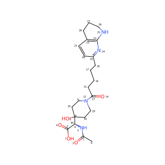 CC(=O)N[C@@H](C(=O)O)C1(O)CCN(C(=O)CCCCc2ccc3c(n2)NCCC3)CC1